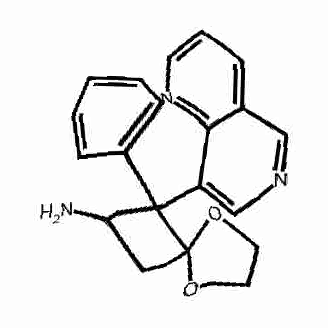 NC1CC2(OCCO2)C1(c1ccccc1)c1cncc2cccnc12